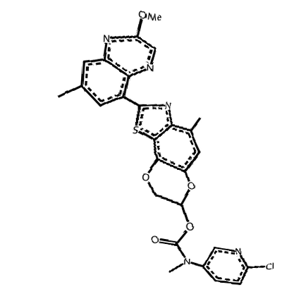 COc1cnc2c(-c3nc4c(C)cc5c(c4s3)OCC(OC(=O)N(C)c3ccc(Cl)nc3)O5)cc(C)cc2n1